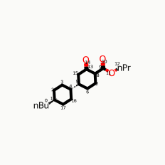 CCCC[C@H]1CC[C@H](C2CCC(C(=O)OCCC)C(=O)C2)CC1